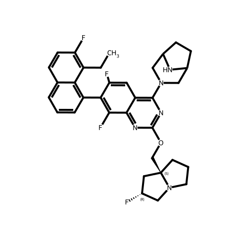 CCc1c(F)ccc2cccc(-c3c(F)cc4c(N5CC6CCC(C5)N6)nc(OC[C@@]56CCCN5C[C@H](F)C6)nc4c3F)c12